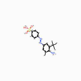 Cc1cc(/N=N/c2ccc(S(=O)(=O)O)cc2)cc(C(C)(C)C)c1N